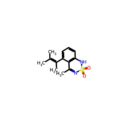 CC1=NS(=O)(=O)Nc2cccc(C(C)=C(C)C)c21